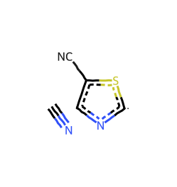 C#N.N#Cc1cn[c]s1